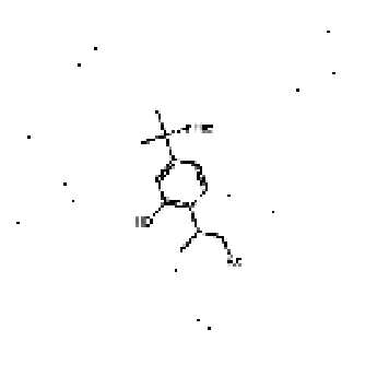 CCCCCCC(C)(C)c1ccc(C(C)CC(C)=O)c(O)c1